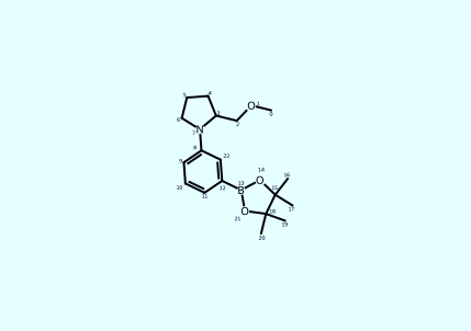 COCC1CCCN1c1cccc(B2OC(C)(C)C(C)(C)O2)c1